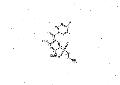 COc1cc(O)c(C(=O)c2ccc(C)cc2)cc1S(=O)(=O)NCN